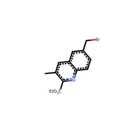 CCOC(=O)c1nc2ccc(CBr)cc2cc1C